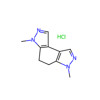 Cl.Cn1ncc2c1CCc1c-2cnn1C